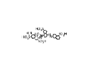 Nc1cc2c(cc1S(=O)(=O)O)CC(S(=O)(=O)O)C(N=Nc1ccc(N=Nc3ccc4c(S(=O)(=O)O)cccc4c3)c3ccc(S(=O)(=O)O)cc13)C2O